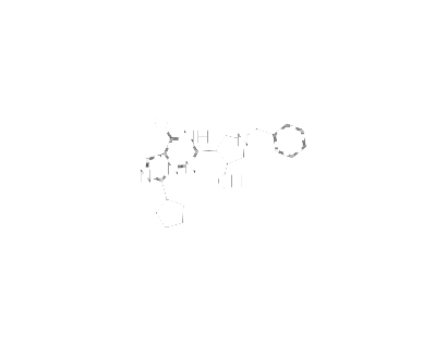 CC1CN(Cc2ccccc2)CC1c1nn2c(C3CCCC3)ncc2c(=O)[nH]1